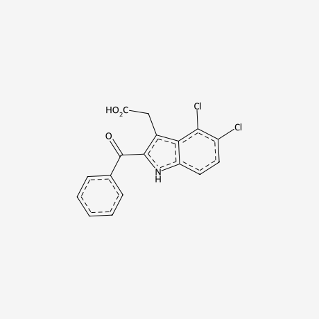 O=C(O)Cc1c(C(=O)c2ccccc2)[nH]c2ccc(Cl)c(Cl)c12